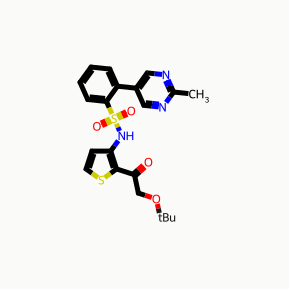 Cc1ncc(-c2ccccc2S(=O)(=O)Nc2ccsc2C(=O)COC(C)(C)C)cn1